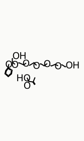 C=C(C)C(=O)O.OCCOCCOCCOCCOCCOC(CO)Oc1ccccc1